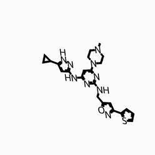 CN1CCN(c2cc(Nc3cc(C4CC4)[nH]n3)nc(NCc3cc(-c4cccs4)no3)n2)CC1